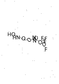 OCCNCCOCc1ccc(-c2noc(-c3ccc(OCCF)c(C(F)(F)F)c3)n2)cc1